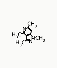 Cc1cc2c(c(C)n1)c(C)nn2C